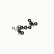 CC1(C)c2ccc(-c3ccc(-c4cccc(-c5nc(-c6ccccc6)nc(-c6ccccc6)n5)c4)cc3)cc2-c2c1ccc1oc3ccccc3c21